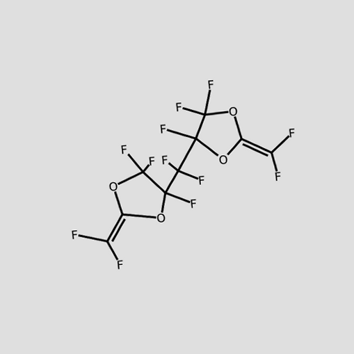 FC(F)=C1OC(F)(F)C(F)(C(F)(F)C2(F)OC(=C(F)F)OC2(F)F)O1